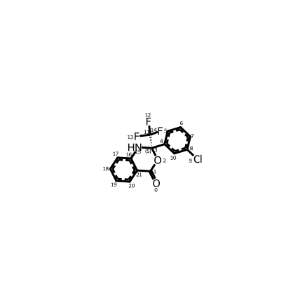 O=C1O[C@@](c2cccc(Cl)c2)(C(F)(F)F)Nc2ccccc21